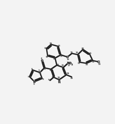 CC1=C(C(=O)n2ccnc2)C(c2ccccc2OCc2ccc(Cl)cc2)C([N+](=O)[O-])=C(C)N1